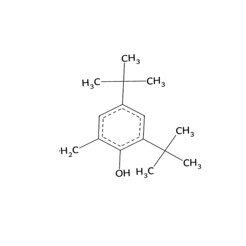 [CH2]c1cc(C(C)(C)C)cc(C(C)(C)C)c1O